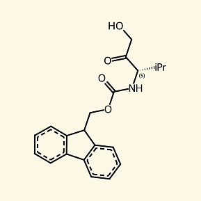 CC(C)[C@H](NC(=O)OCC1c2ccccc2-c2ccccc21)C(=O)CO